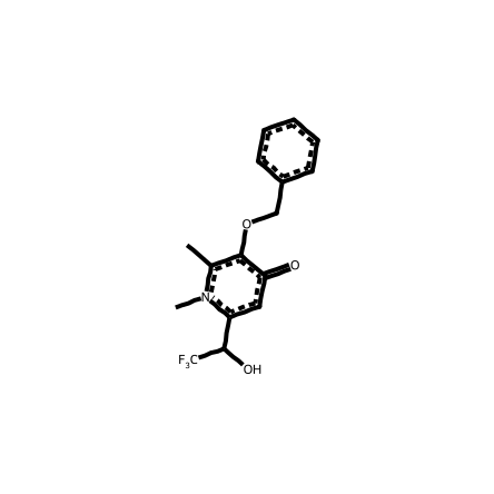 Cc1c(OCc2ccccc2)c(=O)cc(C(O)C(F)(F)F)n1C